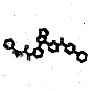 O=C(Nc1cccc(-c2nc3sccn3c2-c2ccnc(Nc3ccc(N4CCCCC4)cc3)n2)c1)[C@@H]1C[C@H]1c1ccccc1